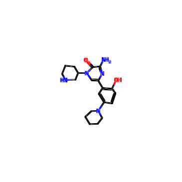 Nc1nc(-c2cc(N3CCCCC3)ccc2O)cn(C2CCCNC2)c1=O